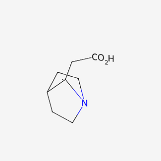 O=C(O)C[C]1C2CCN1CC2